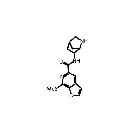 CSc1nc(C(=O)NC2CC3CNC2C3)cc2ccoc12